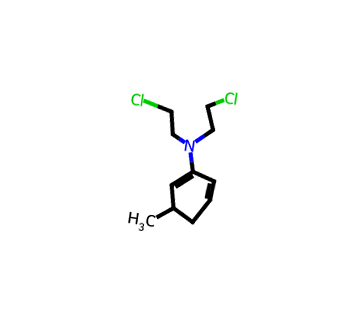 CC1C=C(N(CCCl)CCCl)C=CC1